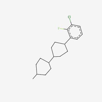 CC1CCC(C2CCC(c3cccc(Cl)c3F)CC2)CC1